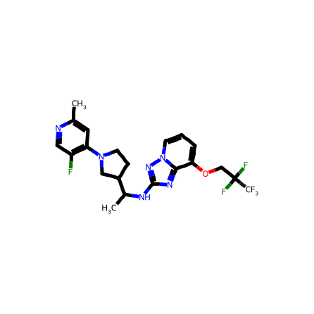 Cc1cc(N2CCC(C(C)Nc3nc4c(OCC(F)(F)C(F)(F)F)cccn4n3)C2)c(F)cn1